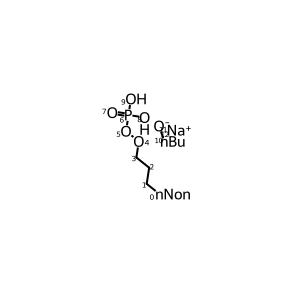 CCCCCCCCCCCCOOP(=O)(O)O.CCCC[O-].[Na+]